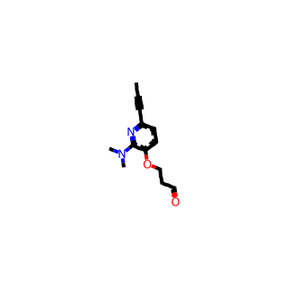 CC#Cc1ccc(OCCC=O)c(N(C)C)n1